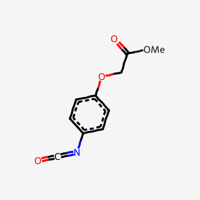 COC(=O)COc1ccc(N=C=O)cc1